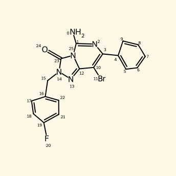 Nc1nc(-c2ccccc2)c(Br)c2nn(Cc3ccc(F)cc3)c(=O)n12